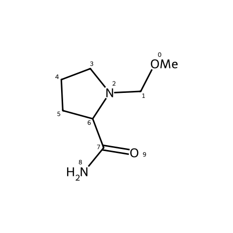 COCN1CCCC1C(N)=O